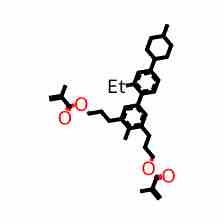 C=C(C)C(=O)OCCCc1cc(-c2ccc(C3CCC(C)CC3)cc2CC)cc(CCCOC(=O)C(=C)C)c1C